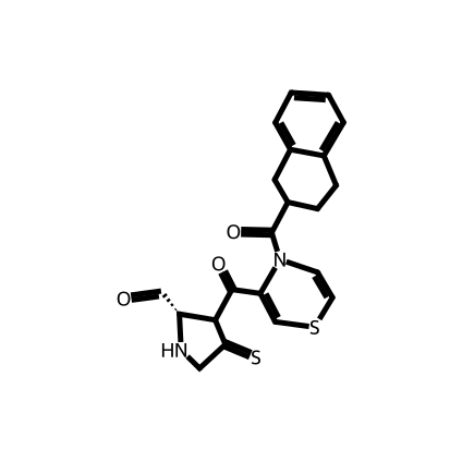 O=C[C@H]1NCC(=S)C1C(=O)C1=CSC=CN1C(=O)C1CCc2ccccc2C1